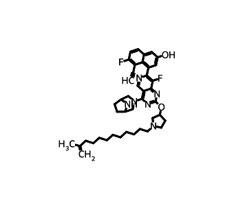 C#Cc1c(F)ccc2cc(O)cc(-c3ncc4c(N5CC6CCC(C5)N6)nc(OC5CCN(CCCCCCCCCCC(=C)C)C5)nc4c3F)c12